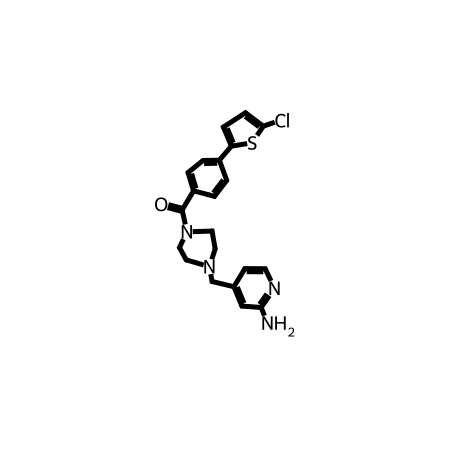 Nc1cc(CN2CCN(C(=O)c3ccc(-c4ccc(Cl)s4)cc3)CC2)ccn1